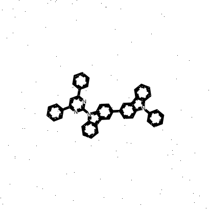 c1ccc(-c2cc(-c3ccccc3)nc(-n3c4ccccc4c4cc(-c5ccc6c(c5)c5ccccc5n6-c5ccccc5)ccc43)n2)cc1